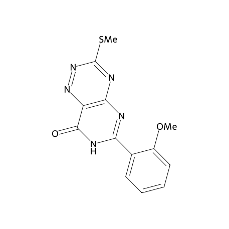 COc1ccccc1-c1nc2nc(SC)nnc2c(=O)[nH]1